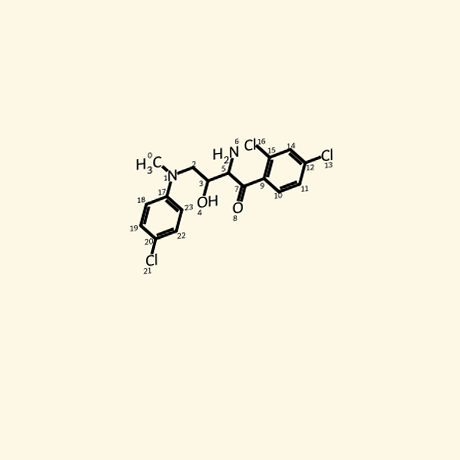 CN(CC(O)C(N)C(=O)c1ccc(Cl)cc1Cl)c1ccc(Cl)cc1